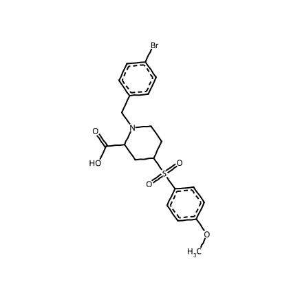 COc1ccc(S(=O)(=O)C2CCN(Cc3ccc(Br)cc3)C(C(=O)O)C2)cc1